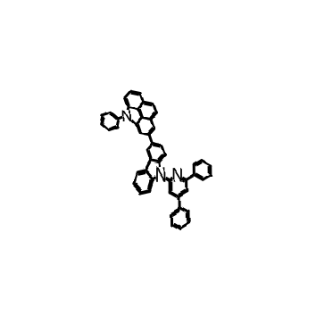 c1ccc(-c2cc(-c3ccccc3)nc(-n3c4ccccc4c4cc(-c5cc6ccc7cccc8c7c6c(c5)n8-c5ccccc5)ccc43)c2)cc1